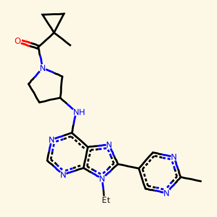 CCn1c(-c2cnc(C)nc2)nc2c(NC3CCN(C(=O)C4(C)CC4)C3)ncnc21